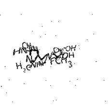 CNc1ncc(-c2cn([C@@H]3O[C@H](CO)[C@@H](O)[C@@]3(C)F)cn2)c(NC)n1